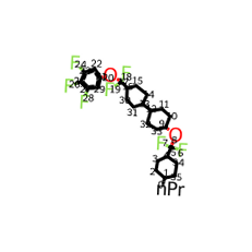 CCCC1CCC(C(F)(F)OC2CCC(C3CCC(C(F)(F)Oc4cc(F)c(F)c(F)c4)CC3)CC2)CC1